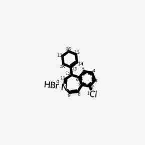 Br.Clc1cccc2c1C=CN=CC2C1=CCCCC1